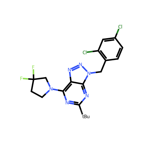 CC(C)(C)c1nc(N2CCC(F)(F)C2)c2nnn(Cc3ccc(Cl)cc3Cl)c2n1